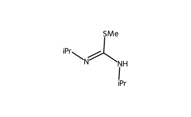 CS/C(=N\C(C)C)NC(C)C